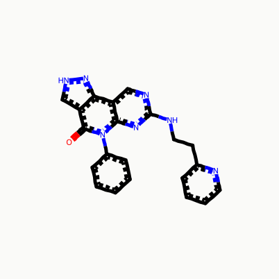 O=c1c2c[nH]nc2c2cnc(NCCc3ccccn3)nc2n1-c1ccccc1